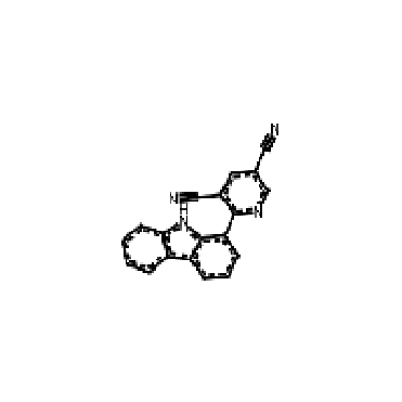 N#Cc1cnc(-c2cccc3c2[nH]c2ccccc23)c(C#N)c1